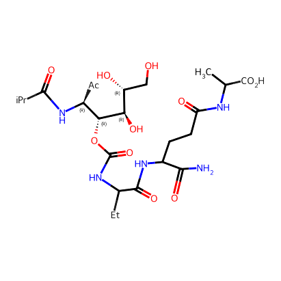 CCC(NC(=O)O[C@@H]([C@H](O)[C@H](O)CO)[C@@H](NC(=O)C(C)C)C(C)=O)C(=O)NC(CCC(=O)NC(C)C(=O)O)C(N)=O